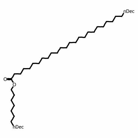 CCCCCCCCCCCCCCCCCCCCCCCCCCCCCCCCCCC(=O)OCCCCCCCCCCCCCCCCC